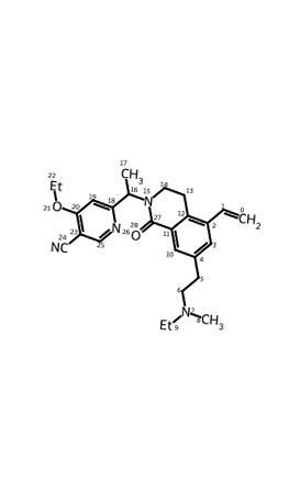 C=Cc1cc(CCN(C)CC)cc2c1CCN(C(C)c1cc(OCC)c(C#N)cn1)C2=O